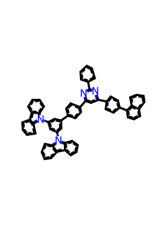 c1ccc(-c2nc(-c3ccc(-c4cc(-n5c6ccccc6c6ccccc65)cc(-n5c6ccccc6c6ccccc65)c4)cc3)cc(-c3ccc(-c4cccc5ccccc45)cc3)n2)cc1